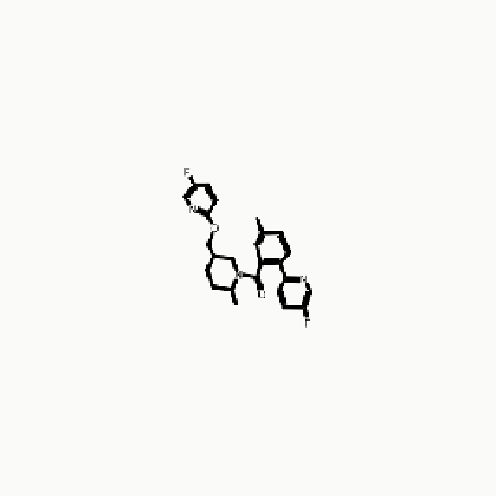 Cc1ccc(-c2ccc(F)cn2)c(C(=O)N2CC(COc3ccc(F)cn3)CCC2C)c1